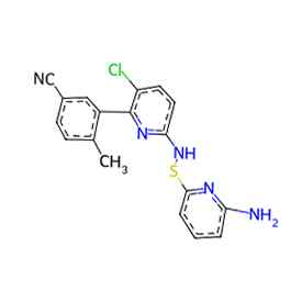 Cc1ccc(C#N)cc1-c1nc(NSc2cccc(N)n2)ccc1Cl